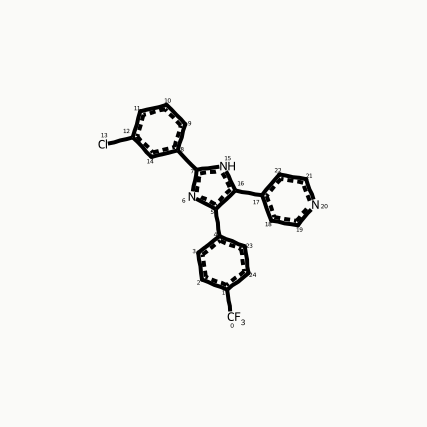 FC(F)(F)c1ccc(-c2nc(-c3cccc(Cl)c3)[nH]c2-c2ccncc2)cc1